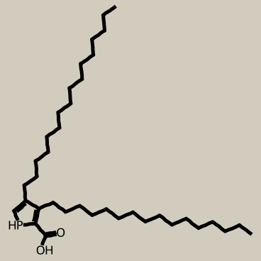 CCCCCCCCCCCCCCCCc1c[pH]c(C(=O)O)c1CCCCCCCCCCCCCCCC